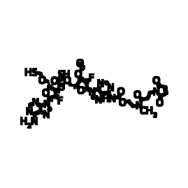 CN(CCOC(=O)Nc1ncnc2c1ncn2[C@@H]1O[C@H](COP(=O)(S)O[C@H]2[C@@H](F)[C@H](n3cnc4c(N)ncnc43)O[C@@H]2COCS)[C@@H](OP=O)[C@H]1F)C(=O)CCN1C(=O)C=CC1=O